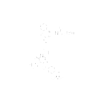 COc1cc(Oc2ncn(CC3(O)CCN(C(=O)[C@@H]4CCN(C(=O)OC(C)(C)C)C[C@H]4c4ccccc4)CC3)c(=O)c2N)ccc1F